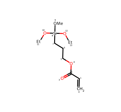 C=CC(=O)OCCC[Si](OC)(OCC)OCC